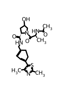 CC(=O)N[C@@H](C)C(=O)N1CC(O)C[C@H]1C(=O)NCC1=CC=C(c2sc(C)nc2C)CC1